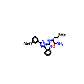 COc1cccc(-c2nc3c4ccccc4nc(N[C@H](CCSC)C(N)=O)n3n2)c1